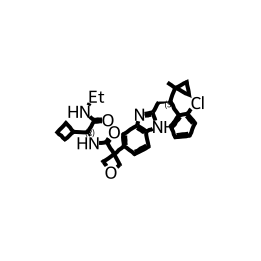 CCNC(=O)[C@H](NC(=O)C1(c2ccc3[nH]c(C[C@H](c4ccccc4Cl)C4(C)CC4)nc3c2)COC1)C1CCC1